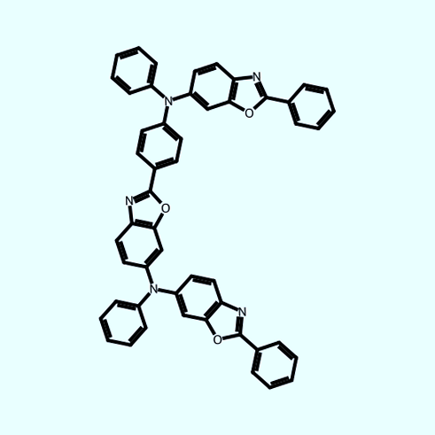 c1ccc(-c2nc3ccc(N(c4ccccc4)c4ccc(-c5nc6ccc(N(c7ccccc7)c7ccc8nc(-c9ccccc9)oc8c7)cc6o5)cc4)cc3o2)cc1